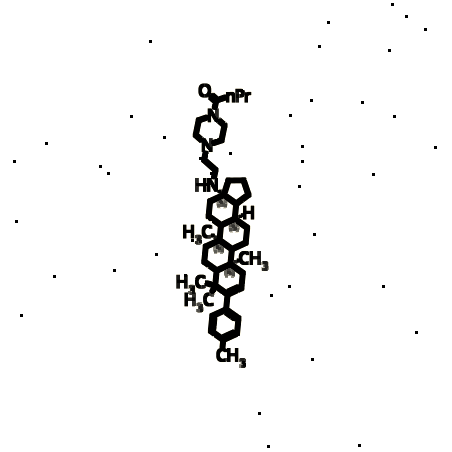 CCCC(=O)N1CCN(CCN[C@]23CCCC2[C@H]2CCC4[C@@](C)(CCC5C(C)(C)C(c6ccc(C)cc6)=CC[C@@]54C)C2CC3)CC1